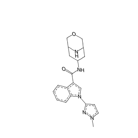 Cn1ccc(-n2cc(C(=O)NC3CC4COCC(C3)N4)c3ccccc32)n1